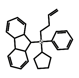 C=CCC[Si](c1ccccc1)(C1CCCC1)C1C2C=CC=CC2C2C=CC=CC21